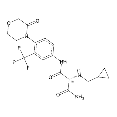 NC(=O)[C@@H](NCC1CC1)C(=O)Nc1ccc(N2CCOCC2=O)c(C(F)(F)F)c1